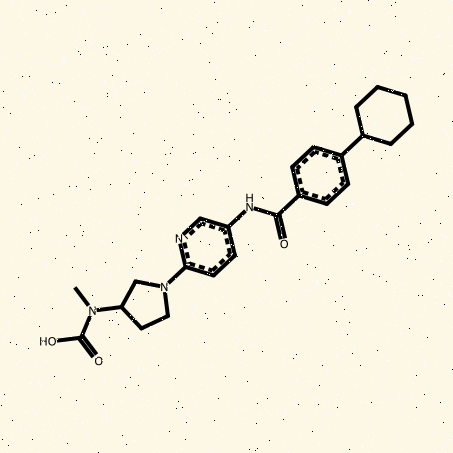 CN(C(=O)O)C1CCN(c2ccc(NC(=O)c3ccc(C4CCCCC4)cc3)cn2)C1